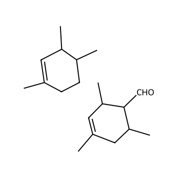 CC1=CC(C)C(C)CC1.CC1=CC(C)C(C=O)C(C)C1